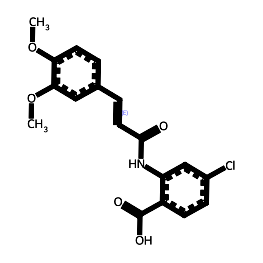 COc1ccc(/C=C/C(=O)Nc2cc(Cl)ccc2C(=O)O)cc1OC